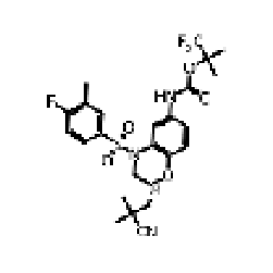 Cc1cc(S(=O)(=O)N2C[C@@H](CC(C)(C)C#N)Oc3ccc(NC(=O)OC(C)(C)C(F)(F)F)cc32)ccc1F